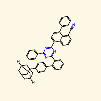 N#Cc1cccc2c(-c3nc(-c4ccccc4)nc(-c4ccccc4-c4ccc(C56CC7C[C@H](C5)C[C@@H](C7)C6)cc4)n3)ccc(-c3ccccc3)c12